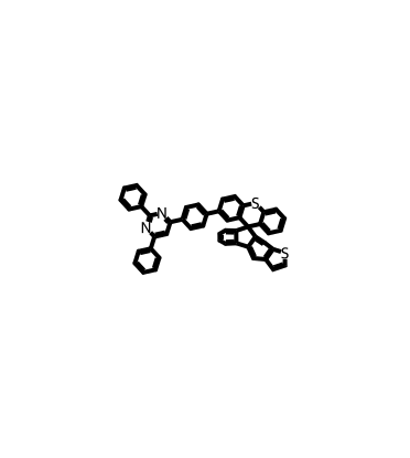 c1ccc(-c2cc(-c3ccc(-c4ccc5c(c4)C4(c6ccccc6S5)c5ccccc5-c5cc6ccsc6cc54)cc3)nc(-c3ccccc3)n2)cc1